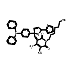 CC1=C(C#N)C(=O)N(CCCCCCO)C(=O)/C1=C\C1(c2ccc(N(c3ccccc3)c3ccccc3)cc2)C=CC(c2cccs2)S1